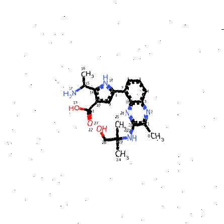 Cc1nc2cccc(-c3cc(C(=O)O)c(C(C)N)[nH]3)c2nc1NC(C)(C)CO